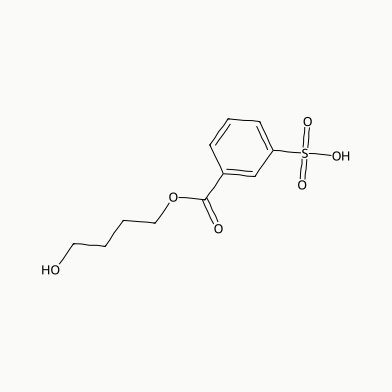 O=C(OCCCCO)c1cccc(S(=O)(=O)O)c1